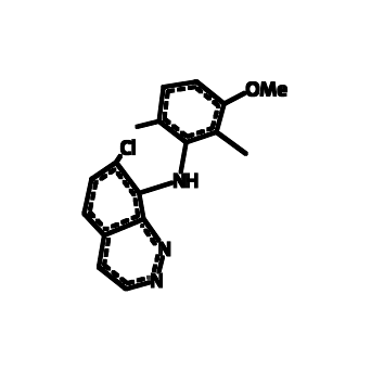 COc1ccc(C)c(Nc2c(Cl)ccc3ccnnc23)c1C